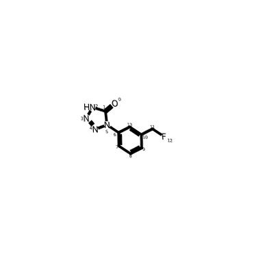 O=c1[nH]nnn1-c1cccc(CF)c1